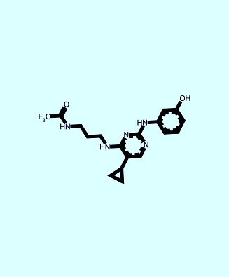 O=C(NCCCNc1nc(Nc2cccc(O)c2)ncc1C1CC1)C(F)(F)F